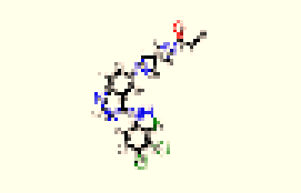 C=CC(=O)N1CC2(C1)CN(c1ccc3ncnc(Nc4ccc(Cl)c(Cl)c4F)c3c1)C2